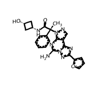 C[C@](C(=O)N[C@H]1C[C@@H](O)C1)(c1ccccc1)n1ncc2c1nc(N)n1nc(-c3ccco3)nc21